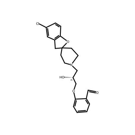 O=Cc1ccccc1OC[C@H](O)CN1CCC2(CC1)Cc1cc(Cl)ccc1O2